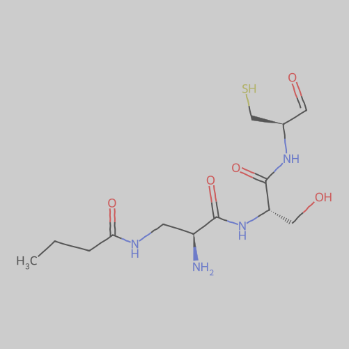 CCCC(=O)NC[C@H](N)C(=O)N[C@@H](CO)C(=O)N[C@H](C=O)CS